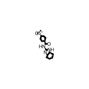 C[S+]([O-])c1ccc(C(=O)Nc2nc3ccccc3[nH]2)cc1